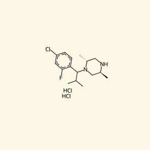 CC(C)C(c1ccc(Cl)cc1F)N1C[C@H](C)NC[C@H]1C.Cl.Cl